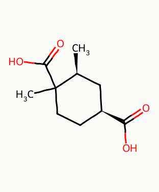 C[C@H]1C[C@@H](C(=O)O)CCC1(C)C(=O)O